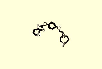 CN1CCCN(CCOc2ccc(Oc3nc4cccnc4s3)cc2)CC1